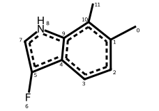 Cc1ccc2c(F)c[nH]c2c1C